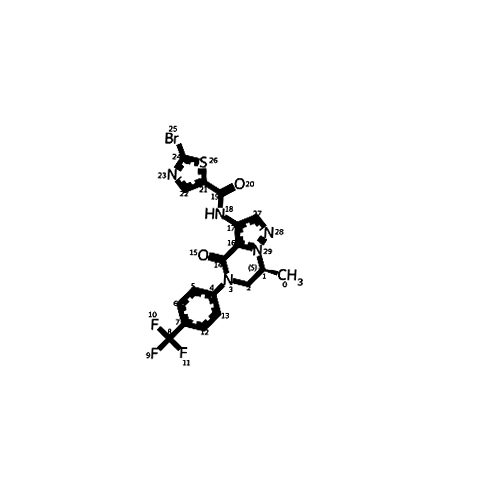 C[C@H]1CN(c2ccc(C(F)(F)F)cc2)C(=O)c2c(NC(=O)c3cnc(Br)s3)cnn21